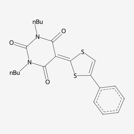 CCCCN1C(=O)C(=C2SC=C(c3ccccc3)S2)C(=O)N(CCCC)C1=O